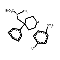 CCOC(=O)N(C)CC1(c2ccccc2)CCNCC1.Cc1ccc(S(=O)(=O)O)cc1